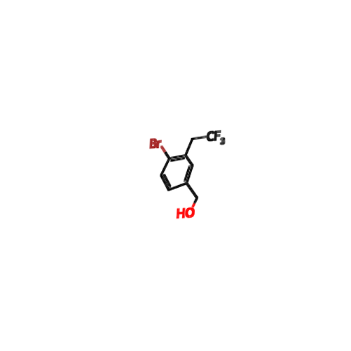 OCc1ccc(Br)c(CC(F)(F)F)c1